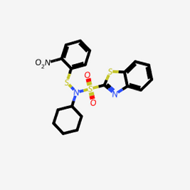 O=[N+]([O-])c1ccccc1SN(C1CCCCC1)S(=O)(=O)c1nc2ccccc2s1